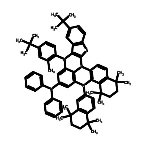 Cc1cc(C(C)(C)C)ccc1N1c2cc(N(c3ccccc3)c3ccccc3)cc3c2B(c2ccc4c(c2N3c2ccc3c(c2)C(C)(C)CCC3(C)C)C(C)(C)CCC4(C)C)c2sc3ccc(C(C)(C)C)cc3c21